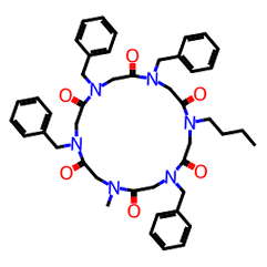 CCCCN1CC(=O)N(Cc2ccccc2)CC(=O)N(C)CC(=O)N(Cc2ccccc2)CC(=O)N(Cc2ccccc2)CC(=O)N(Cc2ccccc2)CC1=O